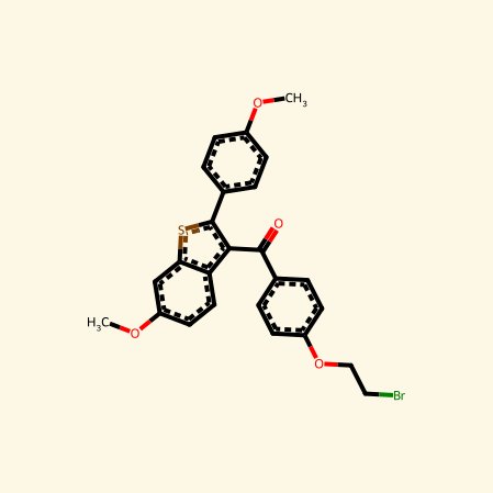 COc1ccc(-c2sc3cc(OC)ccc3c2C(=O)c2ccc(OCCBr)cc2)cc1